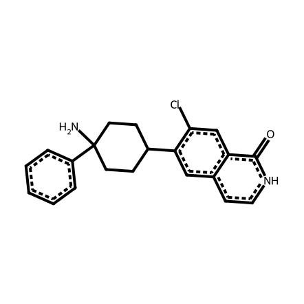 NC1(c2ccccc2)CCC(c2cc3cc[nH]c(=O)c3cc2Cl)CC1